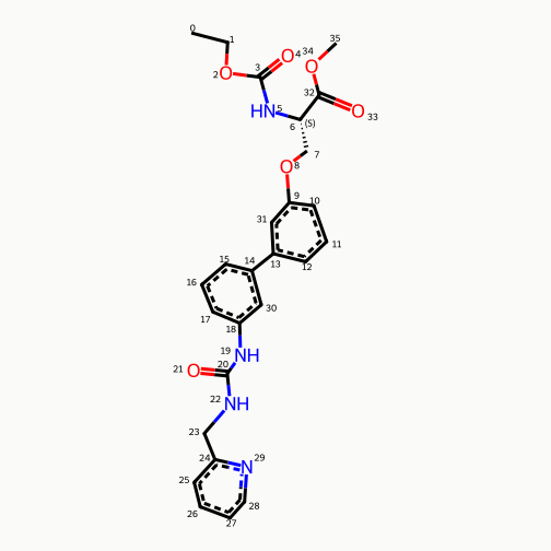 CCOC(=O)N[C@@H](COc1cccc(-c2cccc(NC(=O)NCc3ccccn3)c2)c1)C(=O)OC